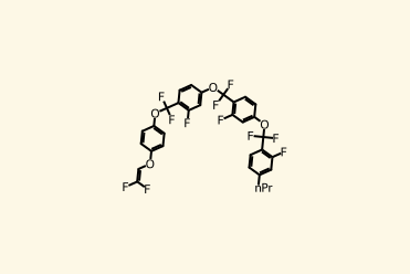 CCCc1ccc(C(F)(F)Oc2ccc(C(F)(F)Oc3ccc(C(F)(F)Oc4ccc(OC=C(F)F)cc4)c(F)c3)c(F)c2)c(F)c1